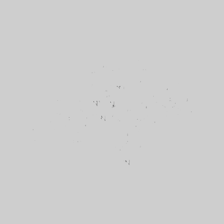 c1ccc2c(c1)ccc1oc3cc(-c4nc(-c5cc(-c6ccncc6)cc(-c6ccc(C78CC9CC(CC(C9)C7)C8)cc6)c5)nc(-c5cccc6c5oc5ccccc56)n4)c4ccccc4c3c12